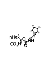 CCCCCCC(OC(=O)NCCN1CCCC1)C(=O)O